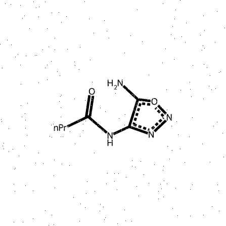 CCCC(=O)Nc1nnoc1N